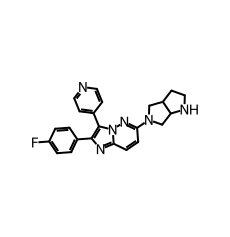 Fc1ccc(-c2nc3ccc(N4CC5CCNC5C4)nn3c2-c2ccncc2)cc1